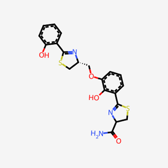 NC(=O)C1CSC(c2cccc(OC[C@@H]3CSC(c4ccccc4O)=N3)c2O)=N1